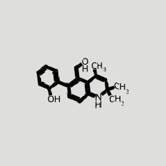 CC1=CC(C)(C)Nc2ccc(-c3ccccc3O)c(CO)c21